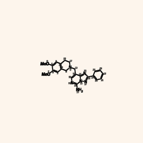 COc1cc2c(cc1OC)CN(Cc1cnc(N)n3nc(-c4ccccc4)nc13)CC2